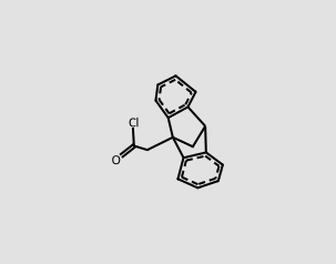 O=C(Cl)CC12CC(c3ccccc31)c1ccccc12